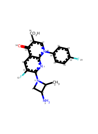 CC1C(N)CN1c1nc2c(cc1F)c(=O)c(C(=O)O)cn2-c1ccc(F)cc1